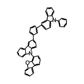 c1ccc(-n2c3ccccc3c3cc(-c4cccc(-c5ccc6c(c5)c5ccccc5n6-c5cccc6c5oc5ccccc56)c4)ccc32)cc1